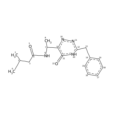 CC(C)CC(=O)NC(C)c1nnc(Cc2ccccc2)[nH]c1=O